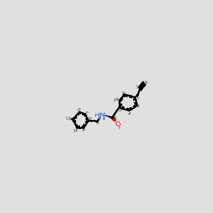 C#Cc1ccc(C(=O)NCc2ccccc2)cc1